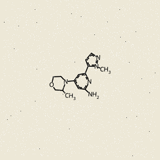 CC1COCCN1c1cc(N)nc(-c2ccnn2C)c1